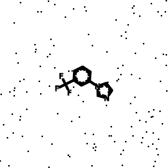 FC(F)(F)c1[c]ccc(-n2ccnc2)c1